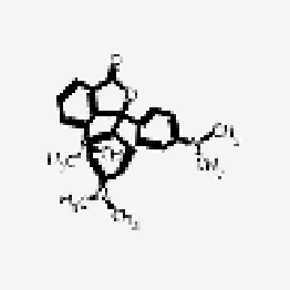 CN(C)c1ccc(C2(c3ccc(N(C)C)cc3)OC(=O)c3cccc(N(C)C)c32)cc1